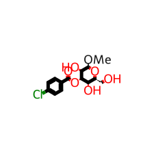 CO[C@@H]1O[C@H](CO)[C@H](O)[C@H](OC(=O)c2ccc(Cl)cc2)[C@H]1O